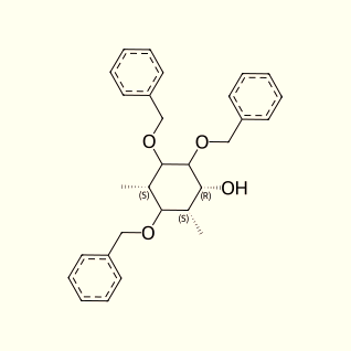 C[C@@H]1C(OCc2ccccc2)C(OCc2ccccc2)[C@H](O)[C@H](C)C1OCc1ccccc1